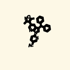 CC(=O)c1ccc(-n2cc(C(c3ccccc3)c3ccccc3)c3cc(-c4c(C)noc4C)cnc32)nc1